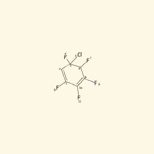 FC1=CC(F)(Cl)C(F)C(F)=C1F